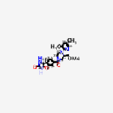 COCC1CN(C(=O)c2ccc(C3(C(C)C)NC(=O)NC3=O)cc2)CCN1c1ncc(C)cc1C